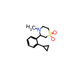 CN1CCS(=O)(=O)CC1c1ccccc1C1CC1